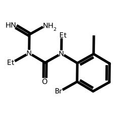 CCN(C(=N)N)C(=O)N(CC)c1c(C)cccc1Br